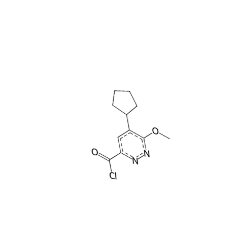 COc1nnc(C(=O)Cl)cc1C1CCCC1